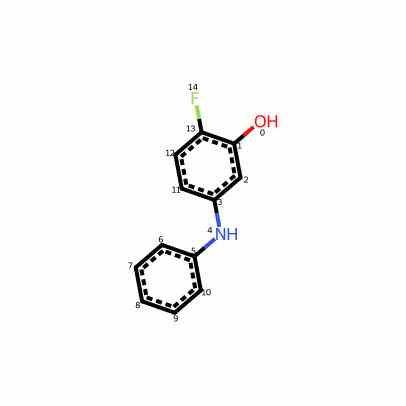 Oc1cc(Nc2ccccc2)ccc1F